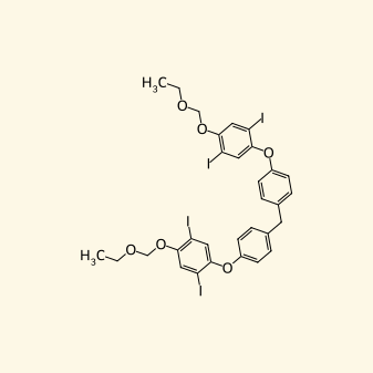 CCOCOc1cc(I)c(Oc2ccc(Cc3ccc(Oc4cc(I)c(OCOCC)cc4I)cc3)cc2)cc1I